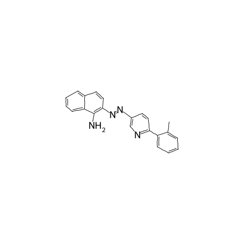 Cc1ccccc1-c1ccc(N=Nc2ccc3ccccc3c2N)cn1